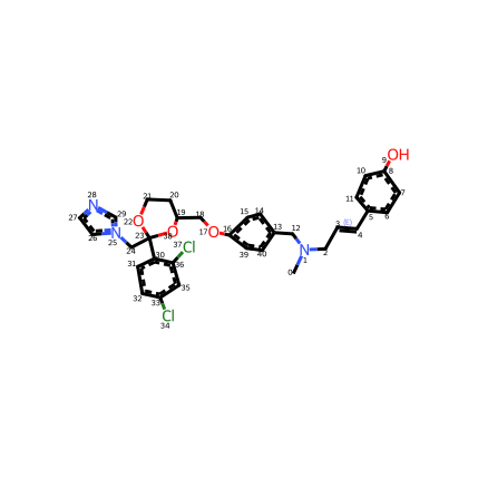 CN(C/C=C/c1ccc(O)cc1)Cc1ccc(OCC2CCOC(Cn3ccnc3)(c3ccc(Cl)cc3Cl)O2)cc1